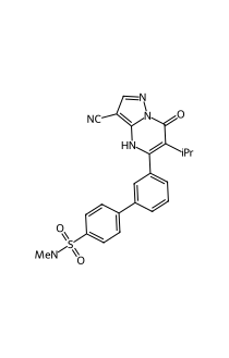 CNS(=O)(=O)c1ccc(-c2cccc(-c3[nH]c4c(C#N)cnn4c(=O)c3C(C)C)c2)cc1